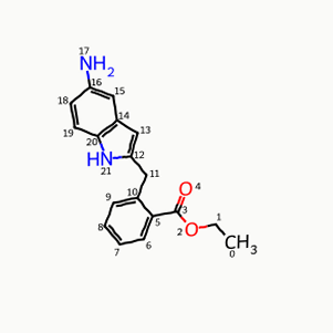 CCOC(=O)c1ccccc1Cc1cc2cc(N)ccc2[nH]1